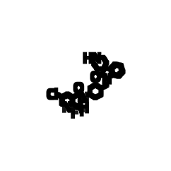 O=C(NC1CCC(CN2C(=O)C3(CCNCC3)c3ccccc32)CC1)c1cc(Cl)cnc1C(F)(F)F